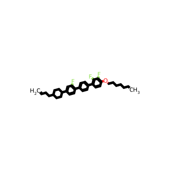 C=CCCC1CCC(c2ccc(-c3ccc(-c4ccc(OCCCCCCC)c(F)c4F)cc3)c(F)c2)CC1